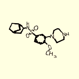 COc1ccc(S(=O)(=O)NC2CC3CCC2C3)cc1N1CCNCC1